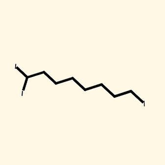 ICCCCCCCC(I)I